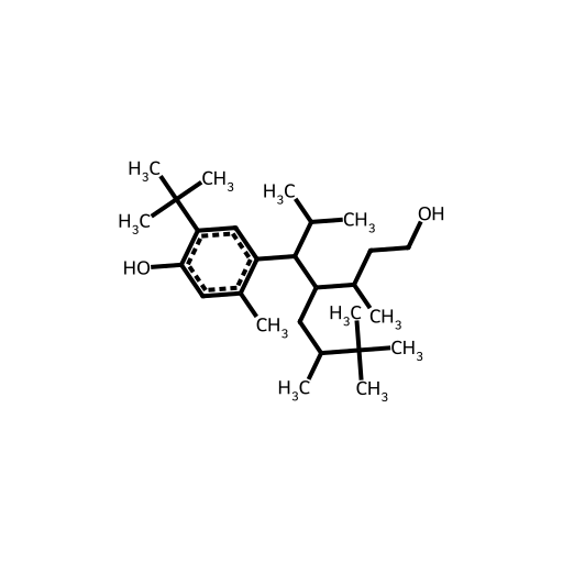 Cc1cc(O)c(C(C)(C)C)cc1C(C(C)C)C(CC(C)C(C)(C)C)C(C)CCO